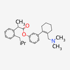 CC(C)Cc1ccccc1C(C)C(=O)Oc1cccc(C2=C(CN(C)C)CCCC2)c1